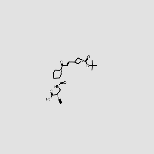 C#C[C@@H](CNC(=O)[C@@H]1CCCN(C(=O)/C=C/C2CN(C(=O)OC(C)(C)C)C2)C1)C(=O)O